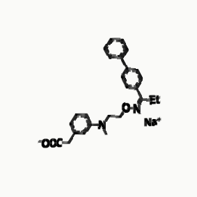 CCC(=NOCCN(C)c1cccc(CC(=O)[O-])c1)c1ccc(-c2ccccc2)cc1.[Na+]